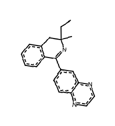 CCC1(C)Cc2ccccc2C(c2ccc3nccnc3c2)=N1